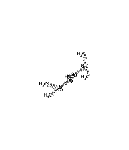 CCCCCCCCC(CCCCCC)C(=O)OCCCCCOC(=O)CC(O)C(=O)OCCCCCOC(=O)C(CCCCCC)CCCCCCCC